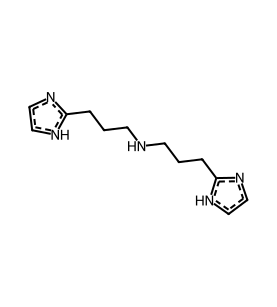 c1c[nH]c(CCCNCCCc2ncc[nH]2)n1